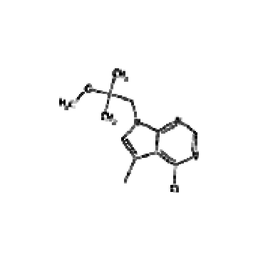 COC(C)(C)Cn1cc(I)c2c(Cl)ncnc21